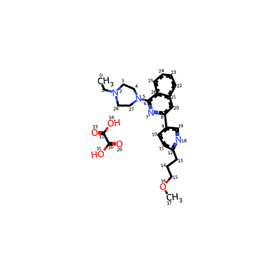 CCN1CCN(c2nc(-c3ccc(CCCOC)nc3)cc3ccccc23)CC1.O=C(O)C(=O)O